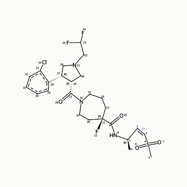 C[C@H](/C=C\S(C)(=O)=O)NC(=O)[C@@]1(F)CCCN(C(=O)[C@H]2CN(CC(F)F)C[C@H]2c2ccccc2Cl)CC1